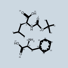 CC(C)C[C@H](NC(=O)OC(C)(C)C)C(=O)O.N[C@@H](Cc1ccccc1)C(=O)O